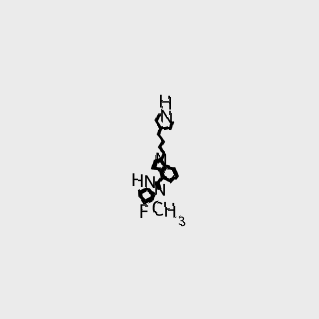 Cc1c(F)ccc2[nH]c(-c3cccc4c3ccn4CCCCC3CCNCC3)nc12